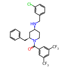 O=C(c1cc(C(F)(F)F)cc(C(F)(F)F)c1)N1CC[C@H](NCc2cccc(Cl)c2)C[C@@H]1Cc1ccccc1